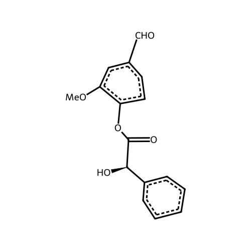 COc1cc(C=O)ccc1OC(=O)[C@H](O)c1ccccc1